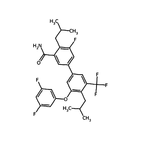 CC(C)Cc1c(F)cc(-c2cc(Oc3cc(F)cc(F)c3)c(CC(C)C)c(C(F)(F)F)c2)cc1C(N)=O